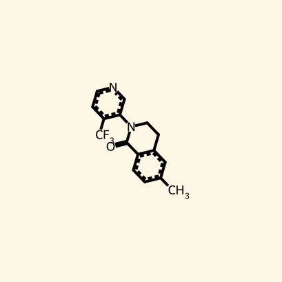 Cc1ccc2c(c1)CCN(c1cnccc1C(F)(F)F)C2=O